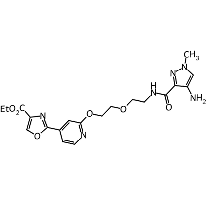 CCOC(=O)c1coc(-c2ccnc(OCCOCCNC(=O)c3nn(C)cc3N)c2)n1